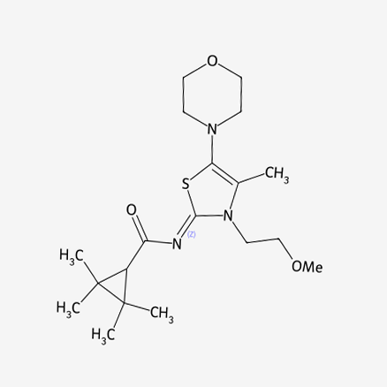 COCCn1c(C)c(N2CCOCC2)s/c1=N\C(=O)C1C(C)(C)C1(C)C